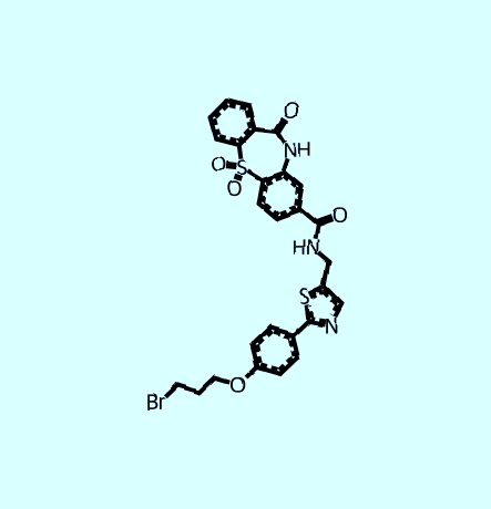 O=C(NCc1cnc(-c2ccc(OCCCBr)cc2)s1)c1ccc2c(c1)NC(=O)c1ccccc1S2(=O)=O